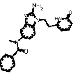 CN(C(=O)c1ccccc1)c1ccc2c(c1)nc(N)n2CCc1cccc(=O)[nH]1